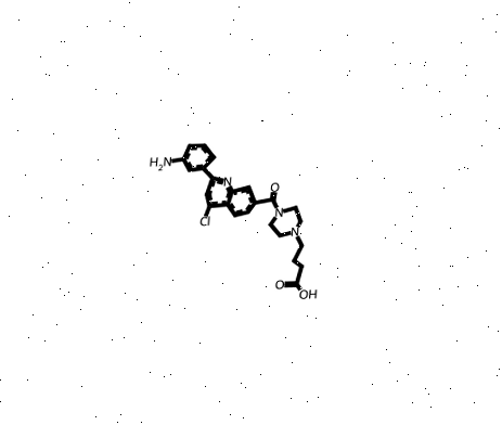 Nc1cccc(-c2cc(Cl)c3ccc(C(=O)N4CCN(CCCC(=O)O)CC4)cc3n2)c1